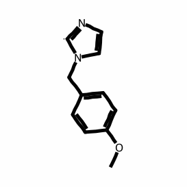 COc1ccc(Cn2[c]ncc2)cc1